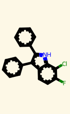 Fc1ccc2c(-c3ccccc3)c(-c3ccccc3)[nH]c2c1Cl